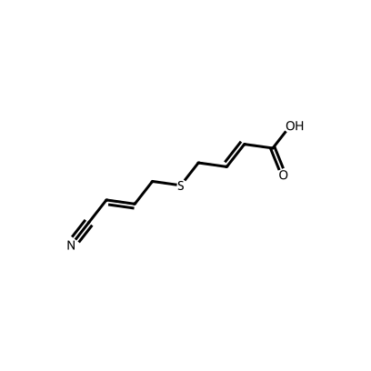 N#CC=CCSCC=CC(=O)O